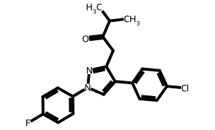 CC(C)C(=O)Cc1nn(-c2ccc(F)cc2)cc1-c1ccc(Cl)cc1